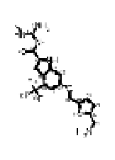 CNC(N)=NC(=O)c1cc2c(C(F)(F)F)cc(OCc3ccc(CN)s3)cc2[nH]1